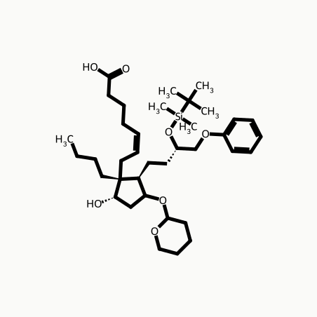 CCCC[C@]1(C/C=C\CCCC(=O)O)[C@@H](O)CC(OC2CCCCO2)[C@@H]1CC[C@@H](COc1ccccc1)O[Si](C)(C)C(C)(C)C